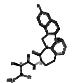 CC[C@@H](C(=O)N[C@H]1CCc2ccccc2N(Cc2c(OC)ccc3cc(Br)ccc23)C1=O)N(CC)C(=O)O